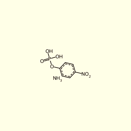 N.O=[N+]([O-])c1ccc(OP(=O)(O)O)cc1